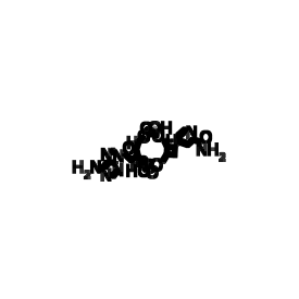 NC(=O)c1cc([C@@H]2CC3COP(=O)(O)O[C@H]4C[C@H](n5cnc6c(N)ncnc65)O[C@@H]4COP(=O)(O)OC[C@H]32)ccn1